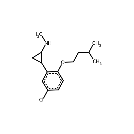 CNC1CC1c1cc(Cl)ccc1OCCC(C)C